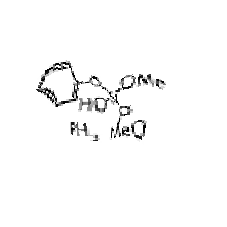 COO[Si](O)(OC)Oc1ccccc1.P